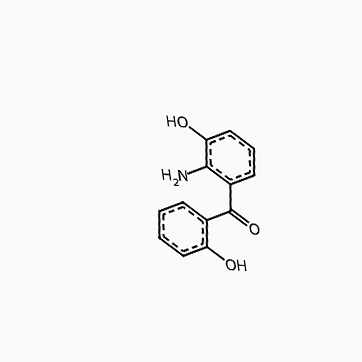 Nc1c(O)cccc1C(=O)c1ccccc1O